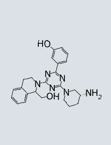 N[C@@H]1CCCN(c2nc(-c3cccc(O)c3)nc(N3CCc4ccccc4C3CO)n2)C1